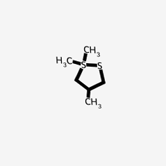 CC1CSS(C)(C)C1